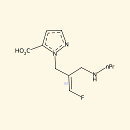 CCCNC/C(=C\F)Cn1nccc1C(=O)O